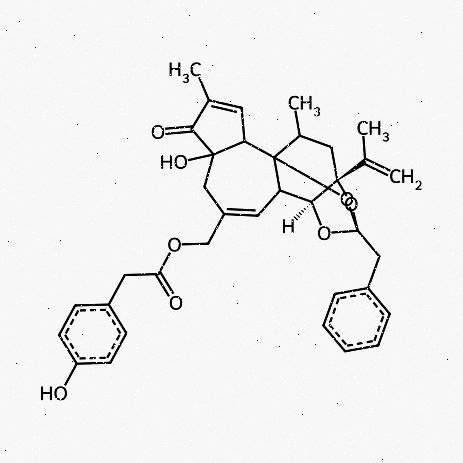 C=C(C)[C@]12CC(C)C34OC(Cc5ccccc5)(O[C@H]1C3C=C(COC(=O)Cc1ccc(O)cc1)CC1(O)C(=O)C(C)=CC14)O2